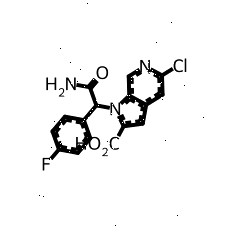 NC(=O)C(c1ccc(F)cc1)n1c(C(=O)O)cc2cc(Cl)ncc21